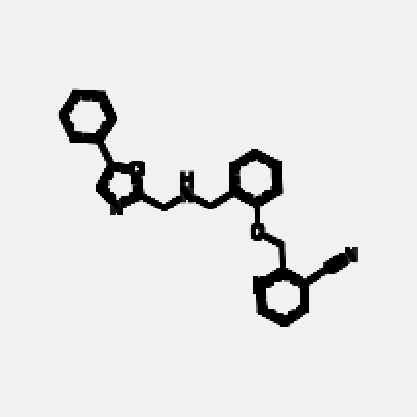 N#Cc1cccnc1COc1ccccc1CNCc1ncc(-c2ccccc2)o1